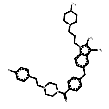 Cc1c(C)n(CCCN2CCN(C)CC2)c2ccc(Cc3ccc(C(=O)N4CCN(CCc5ccc(F)cc5)CC4)cc3)cc12